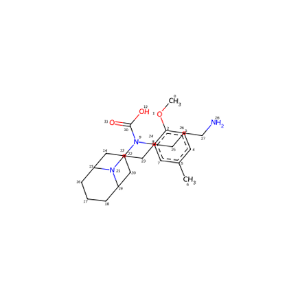 COc1ccc(C)cc1N(C(=O)O)C1CC2CCCC(C1)N2CCCCCCN